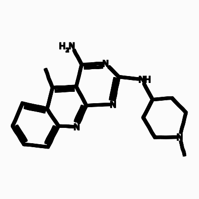 Cc1c2ccccc2nc2nc(NC3CCN(C)CC3)nc(N)c12